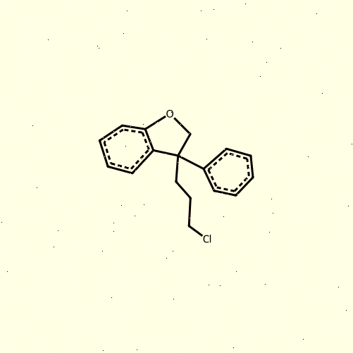 ClCCCC1(c2ccccc2)COc2ccccc21